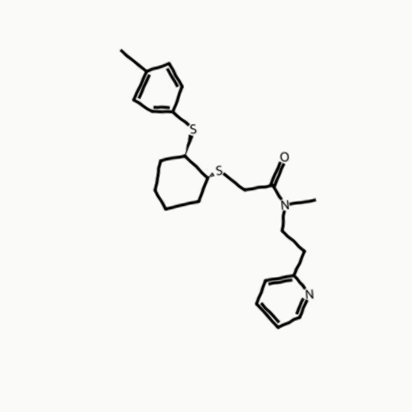 Cc1ccc(S[C@@H]2CCCC[C@H]2SCC(=O)N(C)CCc2ccccn2)cc1